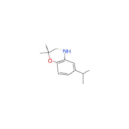 CC(C)c1ccc2c(c1)NCC(C)(C)O2